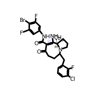 C[C@]12CCCN1C(Cc1cccc(Cl)c1F)CCC(=O)/C(C(=O)Nc1cc(F)c(Br)c(F)c1)=C\2N